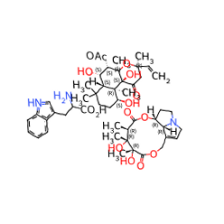 C=C[C@@]1(C)CC(=O)[C@]2(O)[C@@]3(C)[C@@H](O)CCC(C)(C)[C@@H]3[C@H](O)[C@H](OC(C)=O)[C@@]2(C)O1.C[C@H]1C(=O)O[C@@H]2CCN3CC=C(COC(=O)[C@](C)(O)[C@]1(C)O)[C@H]23.NC(Cc1c[nH]c2ccccc12)C(=O)O